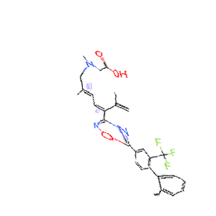 C=C(C)/C(=C\C=C(/C)CN(C)CC(=O)O)c1noc(-c2ccc(-c3ccccc3C)c(C(F)(F)F)c2)n1